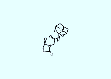 O=C(CN1C(=O)C=CC1=O)NC12OC3CC(CC(C3)O1)O2